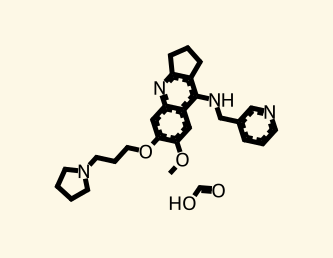 COc1cc2c(NCc3cccnc3)c3c(nc2cc1OCCCN1CCCC1)CCC3.O=CO